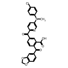 CN(c1ccc(Cl)cc1)c1ccc(C(=O)c2ccc(C(=O)c3ccc4c(c3)OCO4)c(C(=O)O)c2)nc1